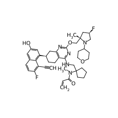 C#Cc1c(F)ccc2cc(O)cc([C@@H]3CCc4c(nc(OC[C@]5(C)C[C@@H](F)CN5C5CCOCC5)nc4NCC4(N(C)C(=O)C=C)CCCC4)C3)c12